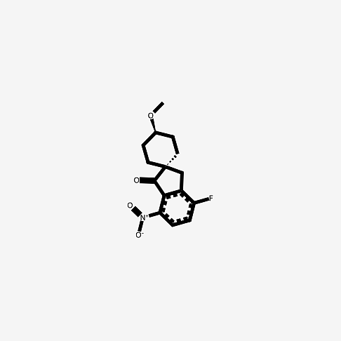 CO[C@H]1CC[C@]2(CC1)Cc1c(F)ccc([N+](=O)[O-])c1C2=O